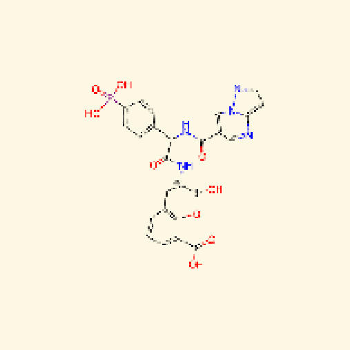 O=C(NC(C(=O)N[C@H]1Cc2cccc(C(=O)O)c2OB1O)c1ccc(P(=O)(O)O)cc1)c1cnc2ccnn2c1